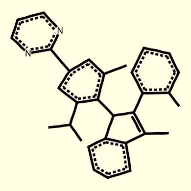 CC1=C(c2ccccc2C)C(c2c(C)cc(-c3ncccn3)cc2C(C)C)c2ccccc21